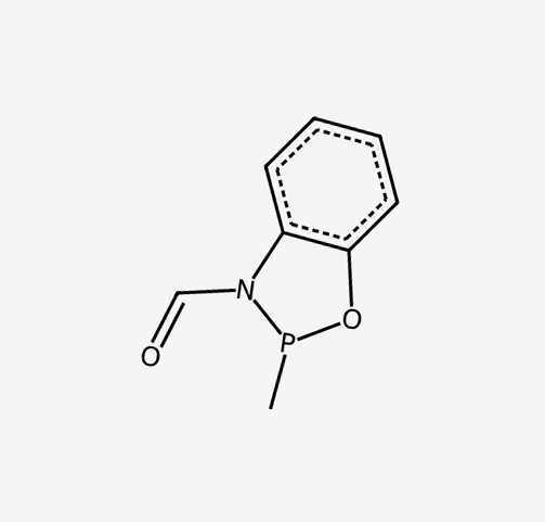 CP1Oc2ccccc2N1C=O